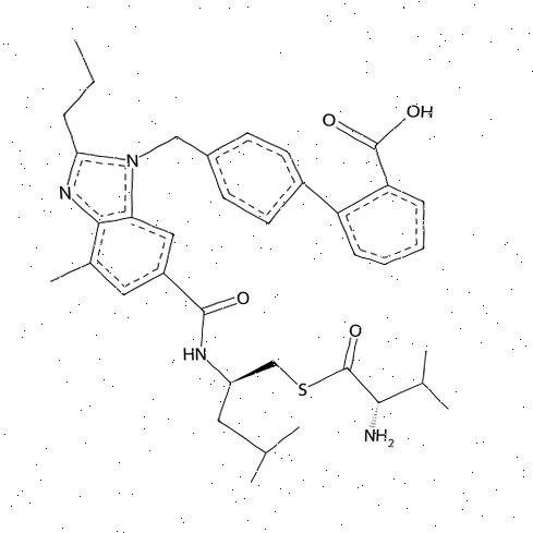 CCCc1nc2c(C)cc(C(=O)N[C@@H](CSC(=O)[C@@H](N)C(C)C)CC(C)C)cc2n1Cc1ccc(-c2ccccc2C(=O)O)cc1